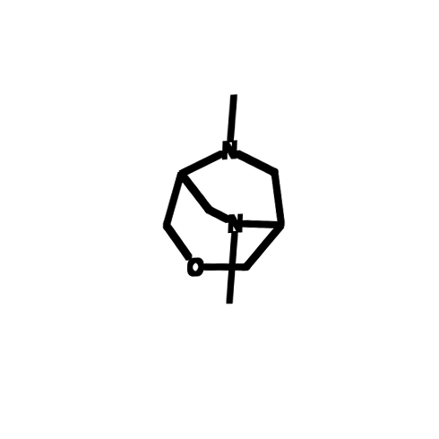 CN1CC2COCC1CN2C